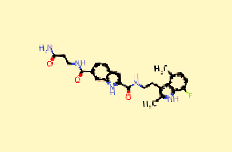 Cc1[nH]c2c(F)ccc(C)c2c1CCNC(=O)c1cc2ccc(C(=O)NCCC(N)=O)cc2[nH]1